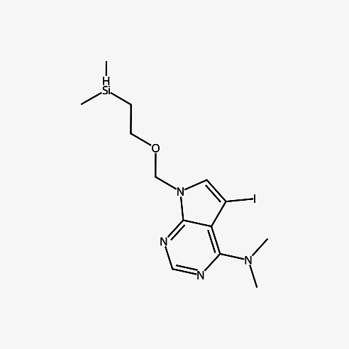 CN(C)c1ncnc2c1c(I)cn2COCC[SiH](C)C